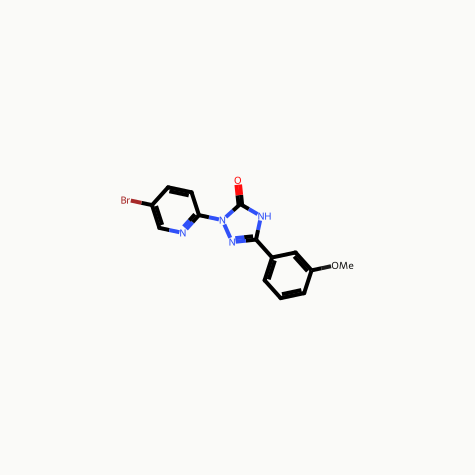 COc1cccc(-c2nn(-c3ccc(Br)cn3)c(=O)[nH]2)c1